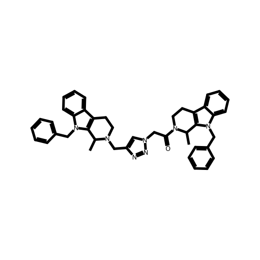 CC1c2c(c3ccccc3n2Cc2ccccc2)CCN1Cc1cn(CC(=O)N2CCc3c(n(Cc4ccccc4)c4ccccc34)C2C)nn1